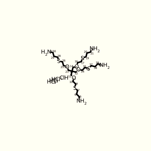 Cl.Cl.Cl.Cl.NCCCSCCOCC(COCCSCCCN)(COCCSCCCN)COCCSCCCN